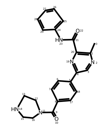 Cc1ncc(-c2ccc(C(=O)N3CCNCC3)cc2)nc1C(=O)Nc1ccccc1